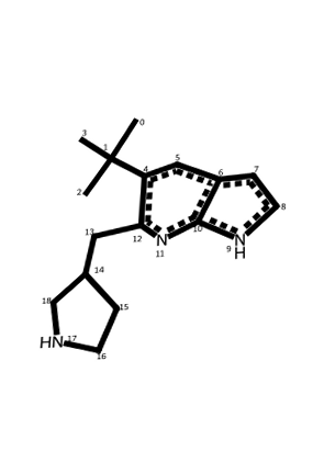 CC(C)(C)c1cc2cc[nH]c2nc1CC1CCNC1